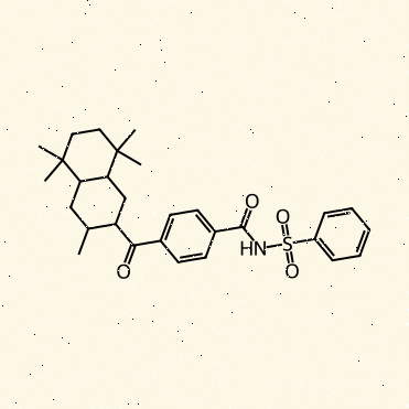 CC1CC2C(CC1C(=O)c1ccc(C(=O)NS(=O)(=O)c3ccccc3)cc1)C(C)(C)CCC2(C)C